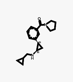 O=C(c1cccc([C@@H]2C[C@H]2NCC2CC2)c1)N1CCCC1